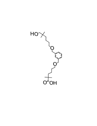 CC(C)(CO)CCCCOCc1cccc(COCCCCC(C)(C)C(=O)O)c1